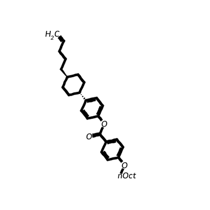 C=CCCC[C@H]1CC[C@H](c2ccc(OC(=O)c3ccc(OCCCCCCCC)cc3)cc2)CC1